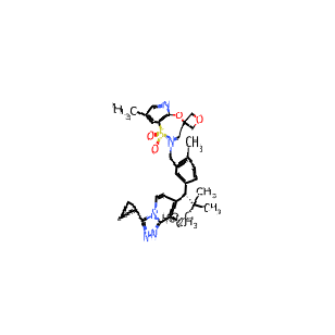 Cc1cnc2c(c1)S(=O)(=O)N(Cc1cc([C@@H](c3ccn4c(C5CC5)nnc4c3C)C(C)(C)C(=O)O)ccc1C)CC1(COC1)O2